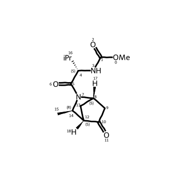 COC(=O)N[C@H](C(=O)N1[C@@H]2CC(=O)[C@@H](C2)[C@H]1C)C(C)C